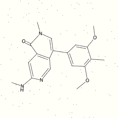 CNc1cc2c(=O)n(C)cc(-c3cc(OC)c(C)c(OC)c3)c2cn1